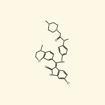 CN1CCN(CC(=O)N(C)c2ccc(NC(=C3C(=O)Nc4cc(Cl)ccc43)c3ccc4c(c3)OCCN4C)cc2)CC1